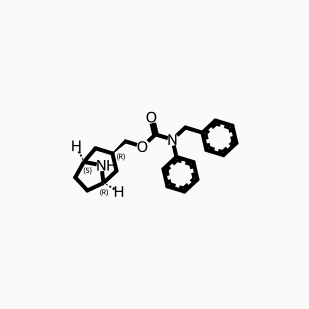 O=C(OC[C@H]1C[C@H]2CC[C@@H](C1)N2)N(Cc1ccccc1)c1ccccc1